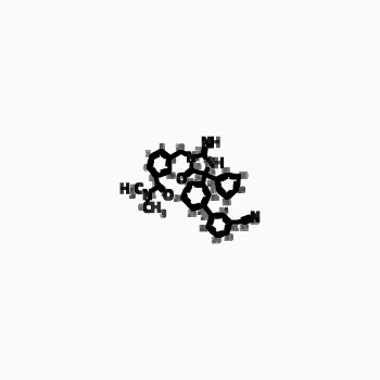 CN(C)C(=O)c1cccc(CN2C(=N)NC(c3ccccc3)(c3cccc(-c4cccc(C#N)c4)c3)C2=O)c1